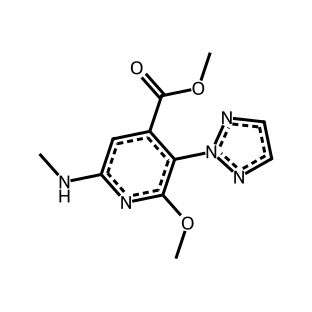 CNc1cc(C(=O)OC)c(-n2nccn2)c(OC)n1